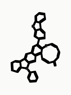 C=C1/C=C\C=C/Cc2c(-c3ccc4c(c3)oc3ccccc34)cc3cc4c5ccccc5n(-c5ccccc5)c4cc3c2/C=C\1